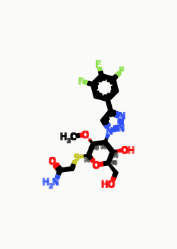 CO[C@@H]1[C@@H](n2cc(-c3cc(F)c(F)c(F)c3)nn2)[C@@H](O)[C@@H](CO)O[C@H]1SCC(N)=O